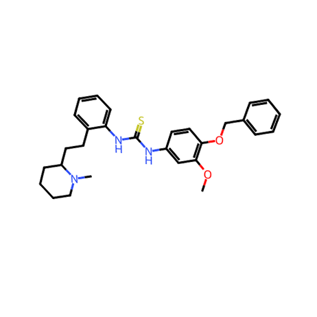 COc1cc(NC(=S)Nc2ccccc2CCC2CCCCN2C)ccc1OCc1ccccc1